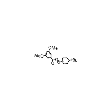 COc1cc(OC)cc(C(=O)OO[C]2CCC(C(C)(C)C)CC2)c1